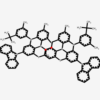 CCCCc1cc(C)cc2c1B1c3cc4c(cc3Sc3cc(-n5c6ccccc6c6ccccc65)cc(c31)N2c1cc(C)cc(C(C)(C)C)c1)Sc1cc(-n2c3ccccc3c3ccccc32)cc2c1B4c1c(I)cc(C)cc1N2c1cc(C)cc(C(C)(C)C)c1